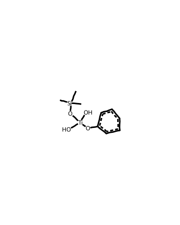 C[Si](C)(C)[O][Ti]([OH])([OH])[O]c1ccccc1